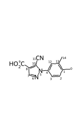 Cc1ccc(-n2ncc(C(=O)O)c2C#N)cc1C